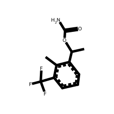 Cc1c(C(C)OC(N)=O)cccc1C(F)(F)F